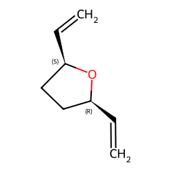 C=C[C@@H]1CC[C@H](C=C)O1